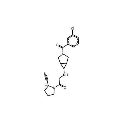 N#C[C@@H]1CCCN1C(=O)CNC1C2CN(C(=O)c3cccc(Cl)c3)CC21